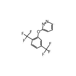 FC(F)(F)c1ccc(C(F)(F)F)c(Oc2cc[c]nn2)c1